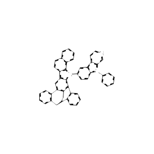 c1ccc(-n2c3ccc(-n4c5c6c7c(cc5c5ccc8ccccc8c54)-c4ccccc4C(CC7)c4ccccc4-6)cc3c3ccncc32)cc1